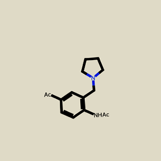 CC(=O)Nc1ccc(C(C)=O)cc1CN1CCCC1